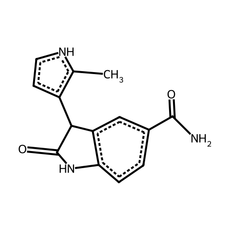 Cc1[nH]ccc1C1C(=O)Nc2ccc(C(N)=O)cc21